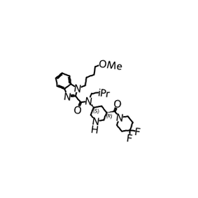 COCCCCn1c(C(=O)N(CC(C)C)[C@@H]2CNC[C@H](C(=O)N3CCC(F)(F)CC3)C2)nc2ccccc21